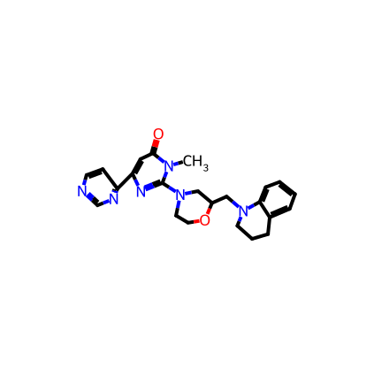 Cn1c(N2CCOC(CN3CCCc4ccccc43)C2)nc(-c2ccncn2)cc1=O